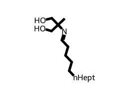 CCCCCCCCCCCC=NC(C)(CO)CO